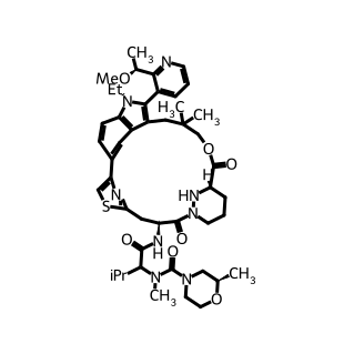 CCn1c(-c2cccnc2[C@H](C)OC)c2c3cc(ccc31)-c1csc(n1)C[C@H](NC(=O)C(C(C)C)N(C)C(=O)N1CCO[C@H](C)C1)C(=O)N1CCC[C@H](N1)C(=O)OCC(C)(C)C2